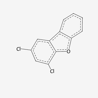 Clc1cc(Cl)c2oc3ccccc3c2c1